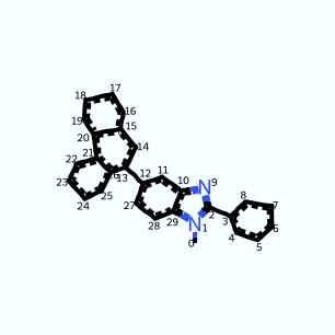 Cn1c(-c2ccccc2)nc2cc(-c3cc4ccccc4c4ccccc34)ccc21